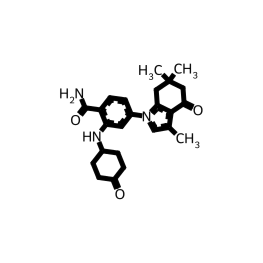 Cc1cn(-c2ccc(C(N)=O)c(NC3CCC(=O)CC3)c2)c2c1C(=O)CC(C)(C)C2